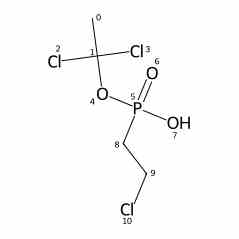 CC(Cl)(Cl)OP(=O)(O)CCCl